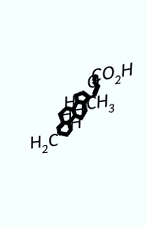 C=C1C=C2CC[C@@H]3[C@H](CC[C@]4(C)[C@H](/C=C\OC(=O)O)CC[C@@H]34)[C@H]2CC1